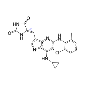 Cc1cccc(Cl)c1Nc1nc(NC2CC2)n2ncc(/C=C3\NC(=O)NC3=O)c2n1